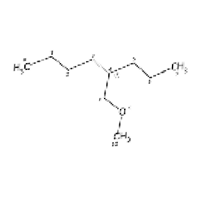 CCCC[C@H](CCC)COC